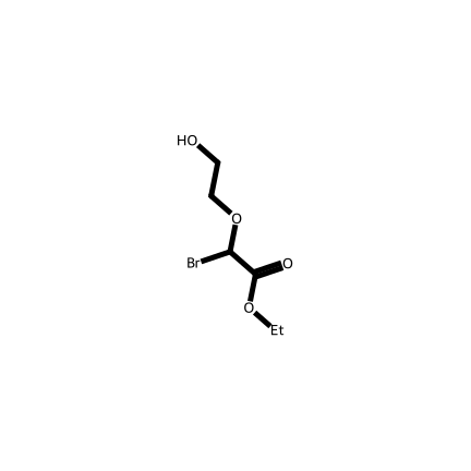 CCOC(=O)C(Br)OCCO